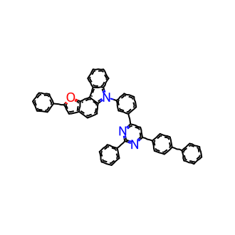 c1ccc(-c2ccc(-c3cc(-c4cccc(-n5c6ccccc6c6c7oc(-c8ccccc8)cc7ccc65)c4)nc(-c4ccccc4)n3)cc2)cc1